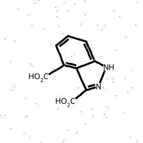 O=C(O)c1cccc2[nH]nc(C(=O)O)c12